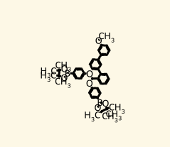 COc1cccc(-c2cccc(-c3ccccc3C(Oc3ccc(B4OC(C)(C)C(C)(C)O4)cc3)Oc3ccc(B4OC(C)(C)C(C)(C)O4)cc3)c2)c1